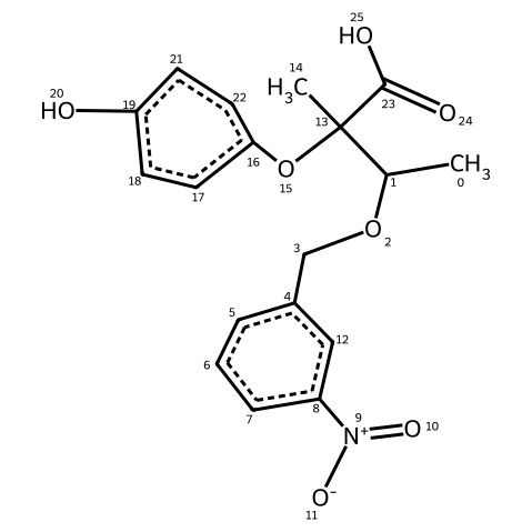 CC(OCc1cccc([N+](=O)[O-])c1)C(C)(Oc1ccc(O)cc1)C(=O)O